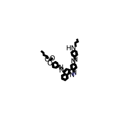 CCCCNc1ccc(N=Nc2ccc(/N=N\c3ccc(N=Nc4ccc(OC(=O)OCCCC)cc4)c4ccccc34)cc2)cc1